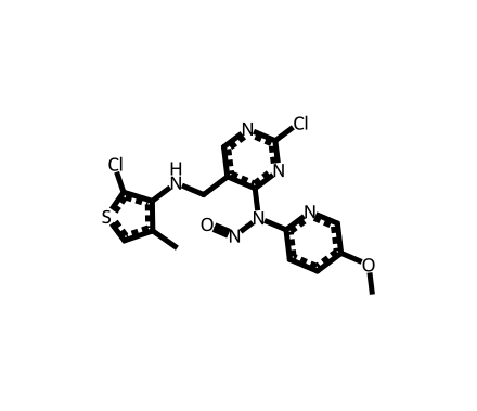 COc1ccc(N(N=O)c2nc(Cl)ncc2CNc2c(C)csc2Cl)nc1